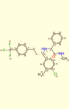 CNC(=O)C(N[C@@H](CCc1ccc(C(F)(F)F)cc1)c1ccc(Cl)c(C)c1)c1ccccc1